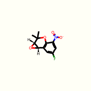 CC1(C)Oc2c(cc(F)cc2[N+](=O)[O-])[C@@H]2O[C@@H]21